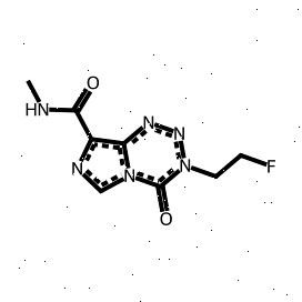 CNC(=O)c1ncn2c(=O)n(CCF)nnc12